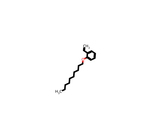 C=Cc1ccccc1OCCCCCCCCCC